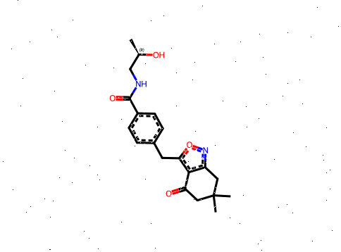 C[C@@H](O)CNC(=O)c1ccc(Cc2onc3c2C(=O)CC(C)(C)C3)cc1